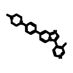 Cc1cnccc1-c1cnc2cc(-c3ccc(N4CCN(C)CC4)cc3)ccn12